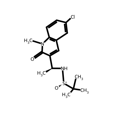 C[C@H](N[S@@+]([O-])C(C)(C)C)c1cc2cc(Cl)ccc2n(C)c1=O